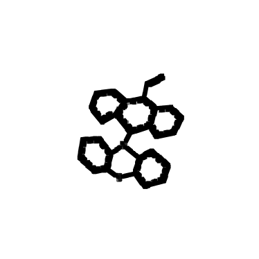 C=Cc1c2ccccc2c(N2c3ccccc3Sc3ccccc32)c2ccccc12